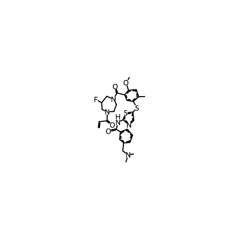 C=CC(=O)N1CCN(C(=O)c2cc(Sc3cnc(NC(=O)c4cccc(CN(C)C)c4)s3)c(C)cc2OC)CC(F)C1